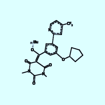 CC[C@@H](C)OC(=C1C(=O)N(C)C(=O)N(C)C1=O)c1cc(OC2CCCC2)cc(-c2cc(C(F)(F)F)ccn2)c1